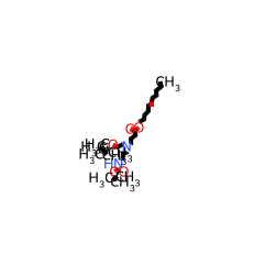 CCCCCCCCCCCOC(=O)CCCN(CCCNC(=O)OC(C)(C)C)CCO[Si](C)(C)C(C)(C)C